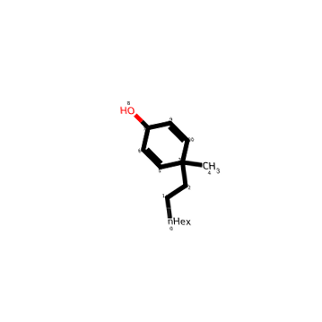 CCCCCCCCC1(C)C=CC(O)C=C1